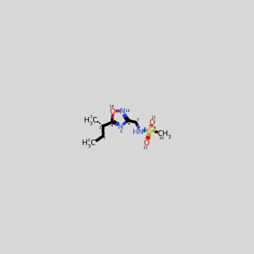 CC[C@H](C)c1nc(CNS(C)(=O)=O)no1